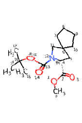 COC(=O)[C@H]1CC2(CCCC2)CN1C(=O)OC(C)(C)C